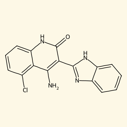 Nc1c(-c2nc3ccccc3[nH]2)c(=O)[nH]c2cccc(Cl)c12